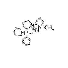 Cc1cccc2nc(C[PH](c3ccccc3)(c3ccccc3)c3ccccc3)nn12